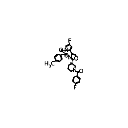 Cc1ccc(S(=O)(=O)n2cc(F)cc2-c2coc([C@H]3CCCN(C(=O)c4ccc(F)cc4)C3)n2)cc1